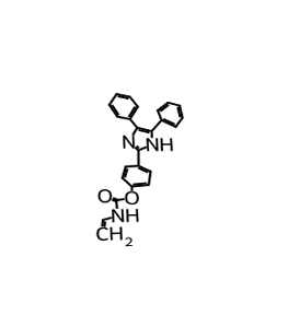 C=CNC(=O)Oc1ccc(-c2nc(-c3ccccc3)c(-c3ccccc3)[nH]2)cc1